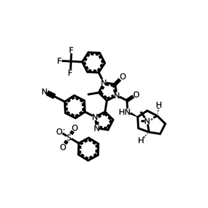 Cc1c(-c2ccnn2-c2ccc(C#N)cc2)n(C(=O)N[C@H]2C[C@H]3CC[C@@H](C2)[N+]3(C)C)c(=O)n1-c1cccc(C(F)(F)F)c1.O=S(=O)([O-])c1ccccc1